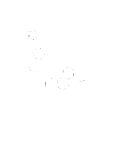 COCCCN1C(=O)c2cccc3c(NC(=O)C4CCC(=O)N4Cc4ccc(-n5cccn5)nc4)ccc1c23